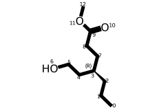 CCC[C@@H](CCO)CCC(=O)OC